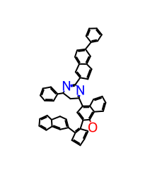 C1=CC2=CC(c3cccc4oc5c6ccccc6c(C6=NC(c7ccc8cc(-c9ccccc9)ccc8c7)=NC(c7ccccc7)C6)cc5c34)=CCC2C=C1